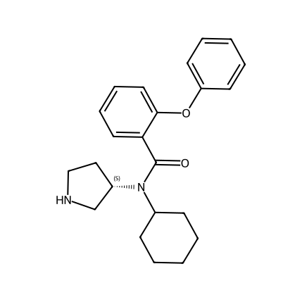 O=C(c1ccccc1Oc1ccccc1)N(C1CCCCC1)[C@H]1CCNC1